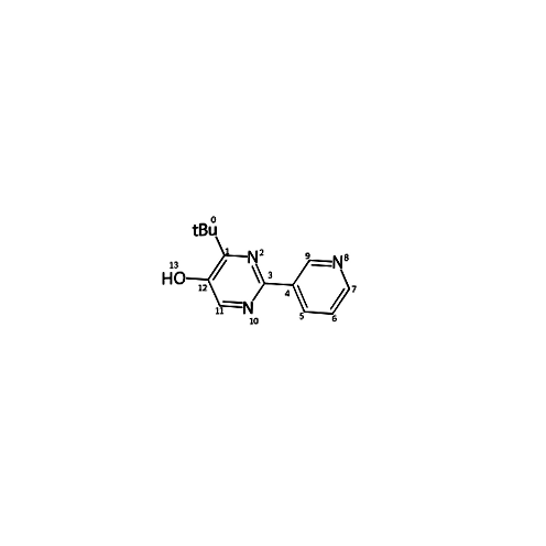 CC(C)(C)c1nc(-c2cccnc2)ncc1O